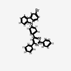 Brc1ccc2c(c1)c1ccccc1n2-c1ccc(-c2cc(-c3ccccc3)nc(-c3ccccc3)n2)cc1